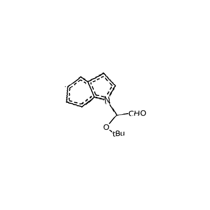 CC(C)(C)OC(C=O)n1ccc2c[c]ccc21